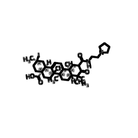 CC1(C)C(=O)C(C(=O)NCCN2CCCC2)C[C@]2(C)C3CC=C4[C@@H]5C[C@](C)(I)CC[C@]5(C(=O)O)CC[C@@]4(C)[C@]3(C)CC[C@@H]12